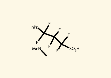 CCCC(F)(F)C(F)(F)C(F)(F)S(=O)(=O)O.CNC